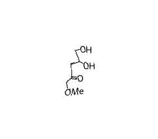 COCC(=O)CC(O)CO